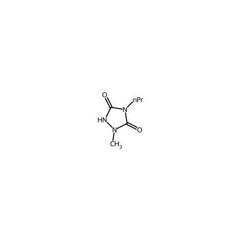 CCCn1c(=O)[nH]n(C)c1=O